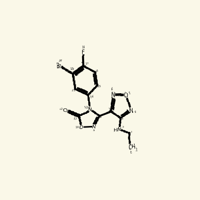 CCNc1nonc1-c1noc(=O)n1-c1ccc(F)c(Br)c1